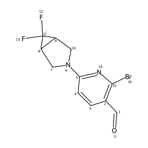 O=Cc1ccc(N2CC3C(C2)C3(F)F)nc1Br